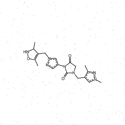 CC1=C(Cn2cc(N3C(=O)CN(Cc4cn(C)nc4C)C3=O)cn2)C(C)NO1